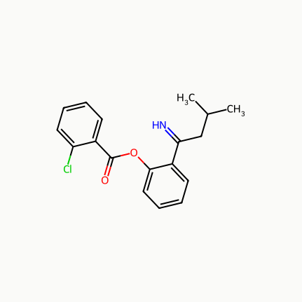 CC(C)CC(=N)c1ccccc1OC(=O)c1ccccc1Cl